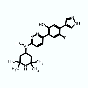 C[As](c1ccc(-c2cc(F)c(-c3cn[nH]c3)cc2O)nn1)C1CC(C)(C)NC(C)(C)C1